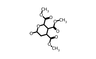 COC(=O)C1CC([O])OC(C(=O)OC)C1C(=O)OC